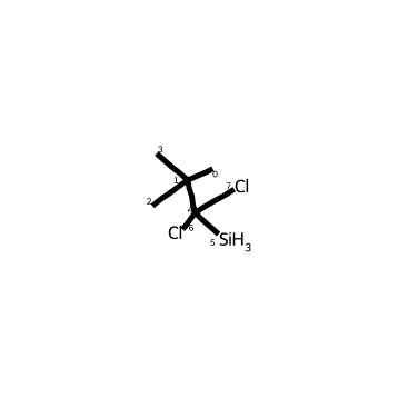 CC(C)(C)C([SiH3])(Cl)Cl